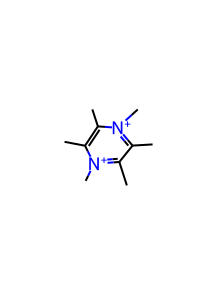 Cc1c(C)[n+](C)c(C)c(C)[n+]1C